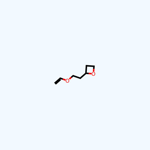 C=COCCC1CCO1